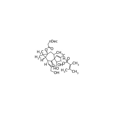 CCCCCCCCCCCC(=O)O[C@@]12CC(C)C34C=C(C)[C@H](OC(=O)C(C)=C(C)C)[C@@]3(O)[C@H](O)C(CO)=C[C@H](C4=O)[C@@H]1C2(C)C